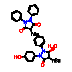 CCCCC1C(=O)N(c2ccccc2)N(c2ccc(O)cc2)C1=O.CCCCC1C(=O)N(c2ccccc2)N(c2ccccc2)C1=O.O